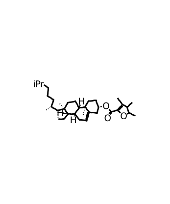 CC1=C(C(=O)O[C@H]2CC[C@@]3(C)C(=CC[C@H]4[C@@H]5CC[C@H]([C@H](C)CCCC(C)C)[C@@]5(C)CC[C@@H]43)C2)OC(C)C1C